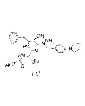 COC(=O)N[C@H](C(=O)N[C@@H](Cc1ccccc1)[C@@H](O)CN(N)Cc1ccc(N2CCCC2)cc1)C(C)(C)C.Cl